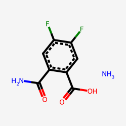 N.NC(=O)c1cc(F)c(F)cc1C(=O)O